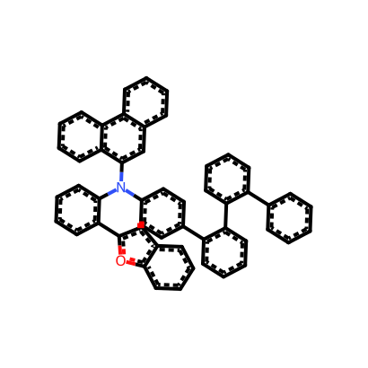 c1ccc(-c2ccccc2-c2ccccc2-c2ccc(N(c3ccccc3-c3cc4ccccc4o3)c3cc4ccccc4c4ccccc34)cc2)cc1